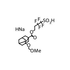 COCOC12CC3CC(C1)CC(C(=O)OCCC(F)(F)C(F)(F)S(=O)(=O)O)(C3)C2.[NaH]